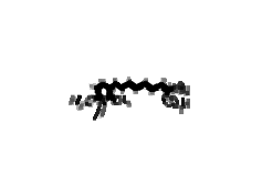 CCCCC(CCCCCCCC1=C(C)NC(C)=CC1)C(=O)O